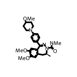 CNC(=O)N1N=C(c2ccc(N3CCC(OC)CC3)cc2)c2cc(OC)c(OC)cc2C[C@@H]1C